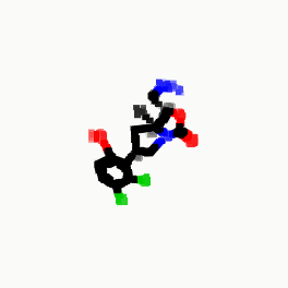 NC[C@@H]1OC(=O)N2C[C@@H](c3c(O)ccc(Cl)c3Cl)C[C@@H]12